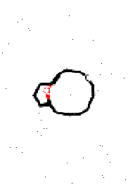 C1=C2CCCC(CCCCCCCCC1)O2